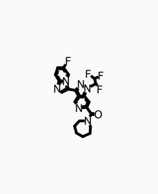 O=C(c1cc2c(cn1)c(-c1cnc3ccc(F)cn13)nn2C(F)C(F)F)N1CCCCCC1